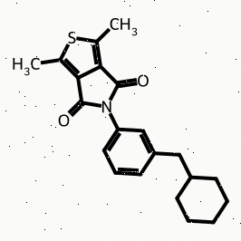 Cc1sc(C)c2c1C(=O)N(c1cccc(CC3CCCCC3)c1)C2=O